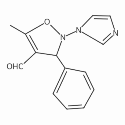 CC1=C(C=O)C(c2ccccc2)N(n2ccnc2)O1